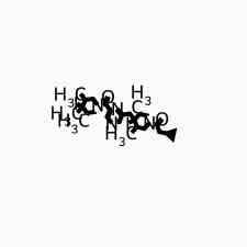 CC1CN(C(=O)c2cncc(CC3(I)C(C)CN(C(=O)CC4CC4)CC3C)n2)CC(C)C1(C)I